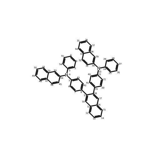 c1ccc(N(c2ccc(-c3cc4ccccc4cc3-c3ccc(N(c4ccccc4)c4ccc5ccccc5c4)cc3)cc2)c2ccc3ccccc3c2)cc1